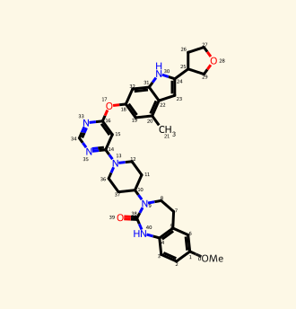 COc1ccc2c(c1)CCN(C1CCN(c3cc(Oc4cc(C)c5cc(C6CCOC6)[nH]c5c4)ncn3)CC1)C(=O)N2